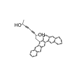 CC(O)C#CC#CC(O)Cc1c2cc3ccccc3cc2cc2c1ccc1cc3ccccc3cc12